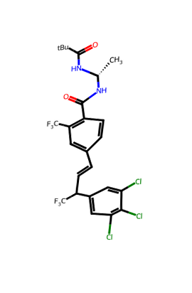 C[C@H](NC(=O)c1ccc(C=CC(c2cc(Cl)c(Cl)c(Cl)c2)C(F)(F)F)cc1C(F)(F)F)NC(=O)C(C)(C)C